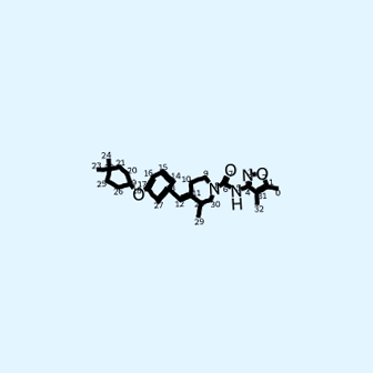 Cc1onc(NC(=O)N2CCC(=Cc3cccc(OC4CCC(C)(C)CC4)c3)C(C)C2)c1C